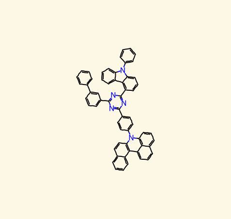 c1ccc(-c2cccc(-c3nc(-c4ccc(N5c6ccc7ccccc7c6-c6cccc7cccc5c67)cc4)nc(-c4cccc5c4c4ccccc4n5-c4ccccc4)n3)c2)cc1